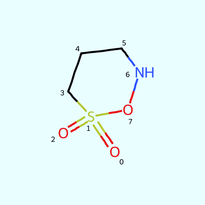 O=S1(=O)CCCNO1